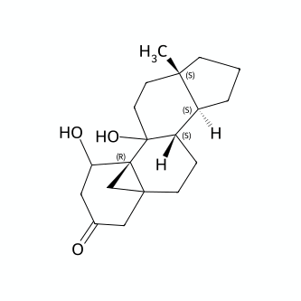 C[C@@]12CCC[C@H]1[C@@H]1CCC34CC(=O)CC(O)[C@]3(C4)C1(O)CC2